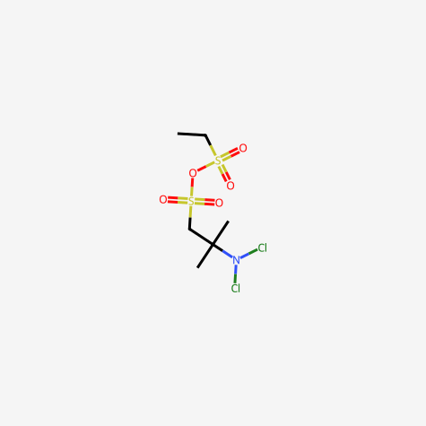 CCS(=O)(=O)OS(=O)(=O)CC(C)(C)N(Cl)Cl